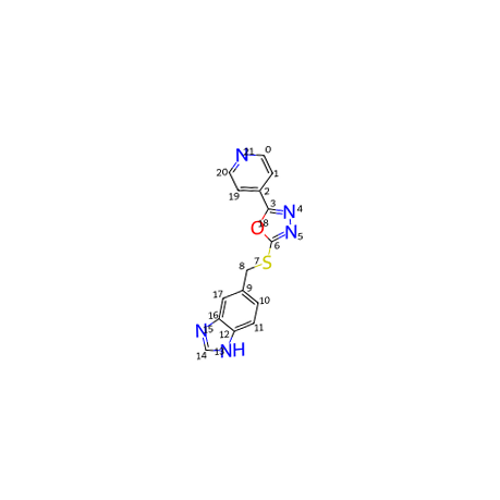 c1cc(-c2nnc(SCc3ccc4[nH]cnc4c3)o2)ccn1